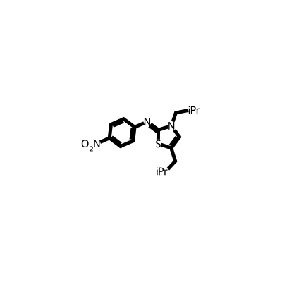 CC(C)Cc1cn(CC(C)C)c(=Nc2ccc([N+](=O)[O-])cc2)s1